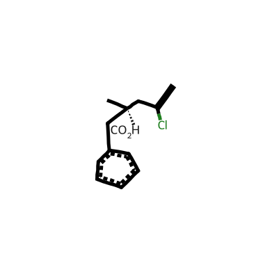 C=C(Cl)C[C@](C)(Cc1ccccc1)C(=O)O